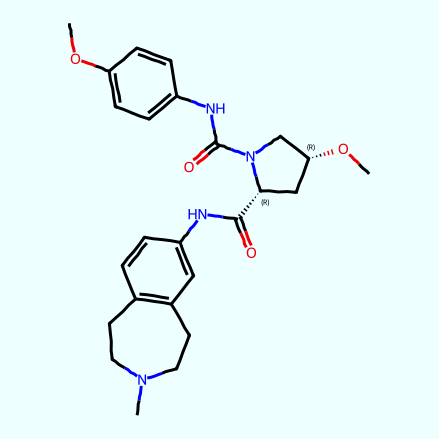 COc1ccc(NC(=O)N2C[C@H](OC)C[C@@H]2C(=O)Nc2ccc3c(c2)CCN(C)CC3)cc1